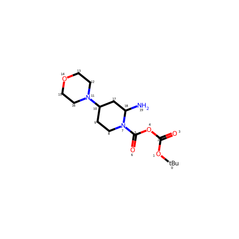 CC(C)(C)OC(=O)OC(=O)N1CCC(N2CCOCC2)CC1N